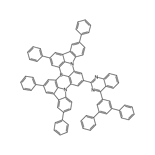 c1ccc(-c2cc(-c3ccccc3)cc(-c3nc(-c4cc5c6c(c4)-n4c7ccc(-c8ccccc8)cc7c7cc(-c8ccccc8)cc(c74)B6c4cc(-c6ccccc6)cc6c7cc(-c8ccccc8)ccc7n-5c46)nc4ccccc34)c2)cc1